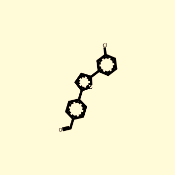 O=Cc1ccc(-c2ccc(-c3cccc(Cl)c3)s2)cc1